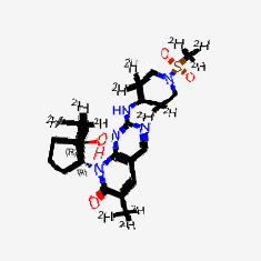 [2H]C([2H])([2H])c1cc2cnc(NC3C([2H])([2H])CN(S(=O)(=O)C([2H])([2H])[2H])CC3([2H])[2H])nc2n([C@@H]2CCC[C@]2(O)C([2H])([2H])[2H])c1=O